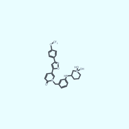 O=c1ccc(-c2cc(-c3ccc(OC(F)(F)F)cc3)no2)cn1Cc1cccc(NC2CCCS(O)(O)C2)c1